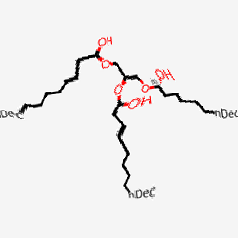 CCCCCCCCCCCCCCCCCC(O)OCC(CO[C@H](O)CCCCCCCCCCCCCCC)OC(O)CCCCCCCCCCCCCCCCC